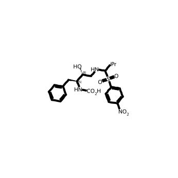 CC(C)C(NC[C@@H](O)[C@H](Cc1ccccc1)NC(=O)O)S(=O)(=O)c1ccc([N+](=O)[O-])cc1